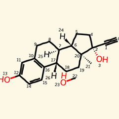 C#C[C@]1(O)CC[C@H]2[C@@H]3CCc4cc(O)ccc4[C@H]3CC[C@@]21C.CO